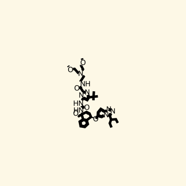 CCC(CC)c1nnc2ccc(O[C@@H]3C=C[C@](C=O)(NC(=O)Nc4cc(C(C)(C)C)nc(C(=O)NCCN(CCOC)CCOC)n4)c4ccccc43)cn12